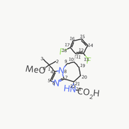 COC(C)(C)c1cnc2n1C[C@H](c1c(F)cccc1F)CC[C@H]2NC(=O)O